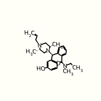 C=CCN1C[C@H](C)N([C@H](c2cccc(O)c2)c2ccccc2C(=O)N(C)CC)C[C@@H]1C